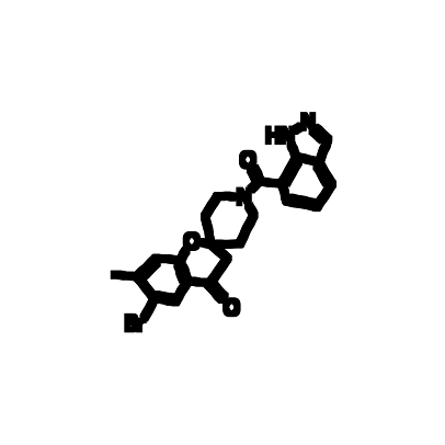 Cc1cc2c(cc1Br)C(=O)CC1(CCN(C(=O)c3cccc4cn[nH]c34)CC1)O2